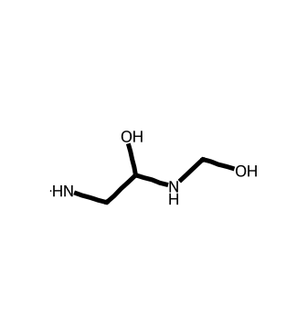 [NH]CC(O)NCO